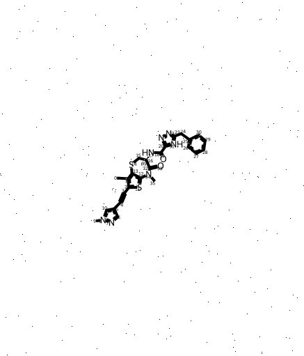 Cc1c(C#Cc2cnn(C)c2)sc2c1SC[C@H](NC(=O)c1nnc(Cc3ccccc3)[nH]1)C(=O)N2C